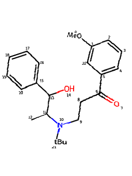 COc1cccc(C(=O)CCN(C(C)C(O)c2ccccc2)C(C)(C)C)c1